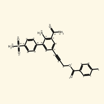 Cc1ccc(C(=O)OCC#Cc2cc(C(N)=O)c(N)c(-c3ccc(S(N)(=O)=O)cc3)c2)cc1